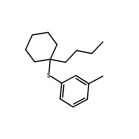 CCCCC1(Sc2cccc(C)c2)CCCCC1